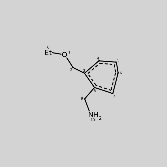 CCOCc1ccccc1CN